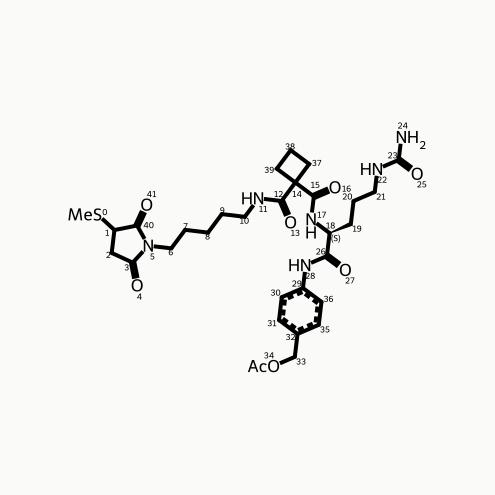 CSC1CC(=O)N(CCCCCNC(=O)C2(C(=O)N[C@@H](CCCNC(N)=O)C(=O)Nc3ccc(COC(C)=O)cc3)CCC2)C1=O